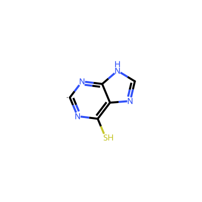 Sc1n[c]nc2[nH]cnc12